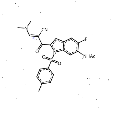 CC(=O)Nc1cc2c(cc1F)cc(C(=O)/C(C#N)=C/N(C)C)n2S(=O)(=O)c1ccc(C)cc1